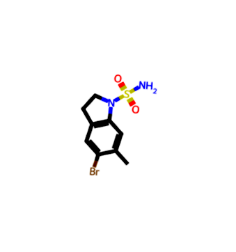 Cc1cc2c(cc1Br)CCN2S(N)(=O)=O